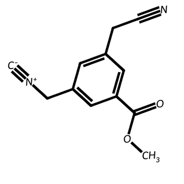 [C-]#[N+]Cc1cc(CC#N)cc(C(=O)OC)c1